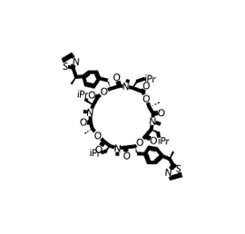 CC(C)C[C@H]1C(=O)O[C@H](Cc2ccc([C@@H](C)c3nccs3)cc2)C(=O)N(C)[C@@H](CC(C)C)C(=O)O[C@H](C)C(=O)N(C)[C@@H](CC(C)C)C(=O)O[C@H](Cc2ccc([C@@H](C)c3nccs3)cc2)C(=O)N(C)[C@@H](CC(C)C)C(=O)O[C@H](C)C(=O)N1C